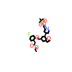 CCOC(=O)Cc1ccc(F)cc1OCc1cc(-c2ccnc(C=NS(=O)(=O)C(C)(C)C)c2)c2occc2c1